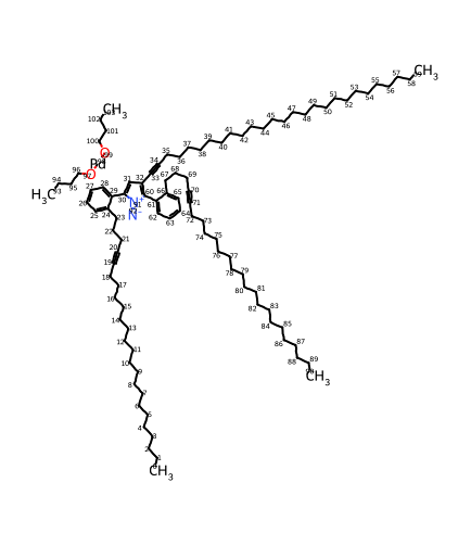 CCCCCCCCCCCCCCCCCCCC#CCCCc1ccccc1C1=CC(C#CCCCCCCCCCCCCCCCCCCCCCCCCC)=C(c2ccccc2CCCC#CCCCCCCCCCCCCCCCCCCC)[N+]1=[N-].CCCC[O][Pd][O]CCCC